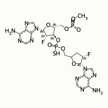 CO[PH](=O)OC[C@H]1O[C@@H](n2cnc3c(N)ncnc32)[C@@H](F)[C@@H]1OP(=O)(S)OCC1C[C@H](F)[C@H](n2cnc3c(N)ncnc32)O1